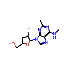 CNc1nc(C)nc2c1ncn2C1OC(CO)CC1F